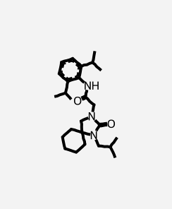 CC(C)CN1C(=O)N(CC(=O)Nc2c(C(C)C)cccc2C(C)C)CC12CCCCC2